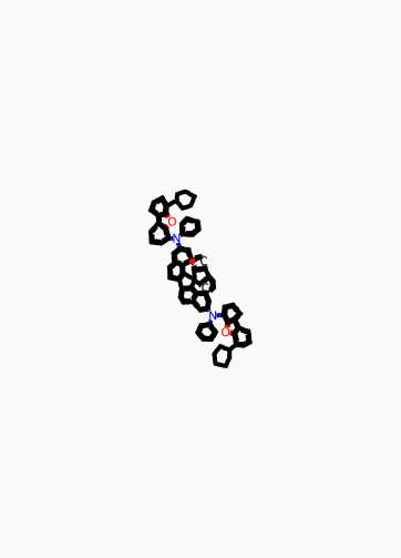 c1ccc(N(c2ccc3c4c(ccc3c2)-c2ccc3cc(N(c5ccccc5)c5cccc6c5oc5c(C7CCCCC7)cccc56)ccc3c2C42c3ccccc3-c3ccccc32)c2cccc3c2oc2c(C4CCCCC4)cccc23)cc1